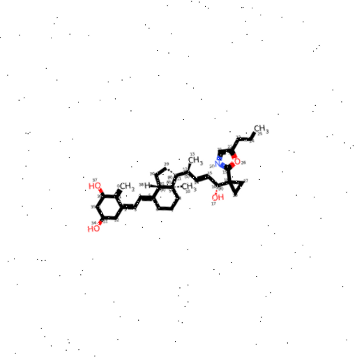 C=C1C(=CC=C2CCC[C@]3(C)[C@@H]([C@@H](C)C=C[C@@H](O)C4(c5ncc(CCC)o5)CC4)CC[C@@H]23)CC(O)CC1O